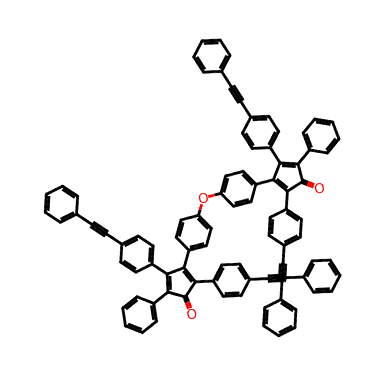 O=C1C(c2ccccc2)=C(c2ccc(C#Cc3ccccc3)cc2)C(c2ccc(Oc3ccc(C4=C(c5ccc(C#Cc6ccccc6)cc5)C(=O)C(c5ccccc5)=C4c4ccc(C#Cc5ccccc5)cc4)cc3)cc2)=C1c1ccc(C#Cc2ccccc2)cc1